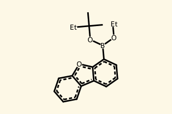 CCOB(OC(C)(C)CC)c1cccc2c1oc1ccccc12